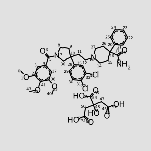 COc1cc(C(=O)N2CCC(CCN3CCC(C(N)=O)(c4ccccc4)CC3)(c3ccc(Cl)c(Cl)c3)C2)cc(OC)c1OC.O=C(O)CC(O)(CC(=O)O)C(=O)O